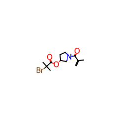 C=C(C)C(=O)N1CCC(OC(=O)C(C)(C)Br)C1